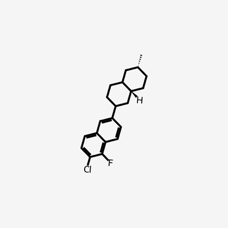 C[C@@H]1CC[C@@H]2CC(c3ccc4c(F)c(Cl)ccc4c3)CCC2C1